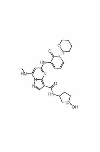 CNc1cc(Nc2cccn([C@H]3CCCCO3)c2=O)nc2c(C(=O)NC3CC[C@@H](O)C3)cnn12